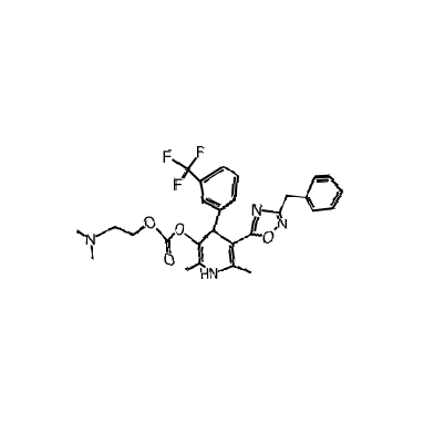 CC1=C(OC(=O)OCCN(C)C)C(c2cccc(C(F)(F)F)c2)C(c2nc(Cc3ccccc3)no2)=C(C)N1